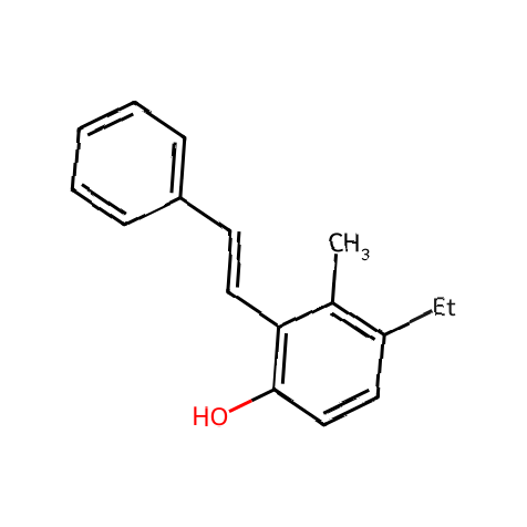 CCc1ccc(O)c(C=Cc2ccccc2)c1C